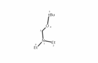 CCN(CC)COC(C)(C)C